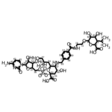 CC(C)C1C(C(=O)O)OC(OCCNC(=O)c2ccc(CNC3C(C[C@H](O)CO)O[C@](OP(=O)(O)OCC4OC(n5ccc(N)nc5=O)C(O)C4O)(C(=O)O)C[C@H]3O)cc2)C(O)C1O